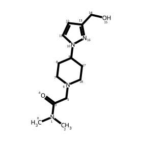 CN(C)C(=O)CN1CCC(n2c[c]c(CO)n2)CC1